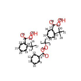 CC(C)(C)OOC(=O)c1ccccc1.CC(C)(C)c1ccccc1C(=O)OO.CC(C)(C)c1ccccc1C(=O)OO